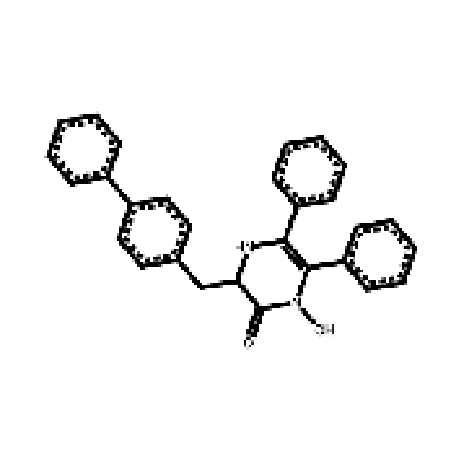 O=C1C(Cc2ccc(-c3ccccc3)cc2)NC(c2ccccc2)=C(c2ccccc2)N1O